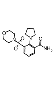 NC(=O)c1cccc(S(=O)(=O)N2CCOCC2)c1N1CCCC1